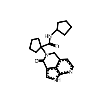 O=C1c2c[nH]c3nccc(c23)CN1C1(C(=O)NC2CCCC2)CCCC1